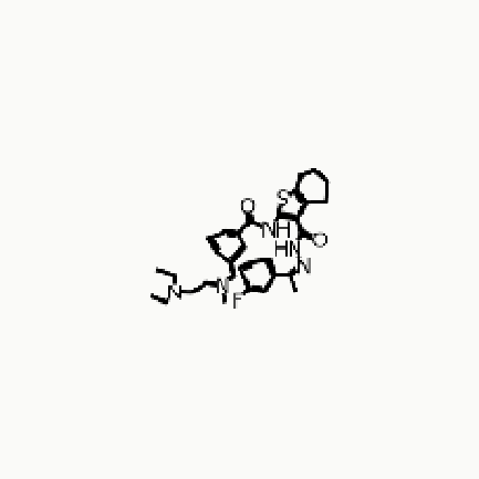 CCN(CC)CCN(C)Cc1cccc(C(=O)Nc2sc3c(c2C(=O)N/N=C(/C)c2cccc(F)c2)CCCC3)c1